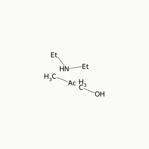 CC(C)=O.CCNCC.CO